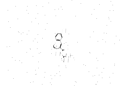 CS(=O)(=O)O.N=C(N)NC(=O)C1=Cc2cc(Cl)ccc2OCC1